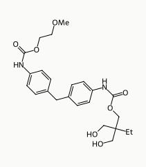 CCC(CO)(CO)COC(=O)Nc1ccc(Cc2ccc(NC(=O)OCCOC)cc2)cc1